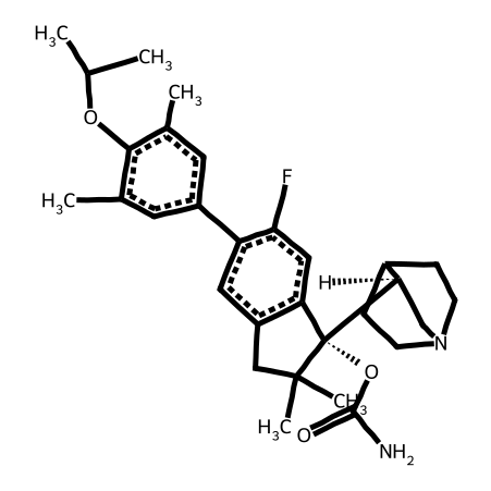 Cc1cc(-c2cc3c(cc2F)[C@@](OC(N)=O)([C@@H]2CN4CCC2CC4)C(C)(C)C3)cc(C)c1OC(C)C